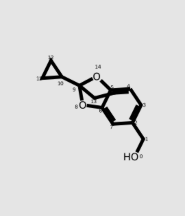 OCc1cc2c3c(c1)OC(C1CC1)(C2)O3